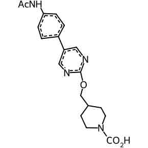 CC(=O)Nc1ccc(-c2cnc(OCC3CCN(C(=O)O)CC3)nc2)cc1